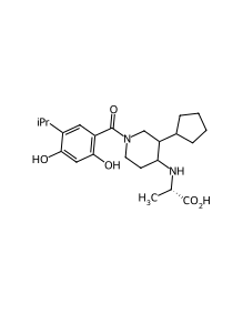 CC(C)c1cc(C(=O)N2CCC(N[C@@H](C)C(=O)O)C(C3CCCC3)C2)c(O)cc1O